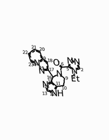 CCn1cnnc1C(=O)N1CCc2[nH]cnc2C1c1cc2ccccn2n1